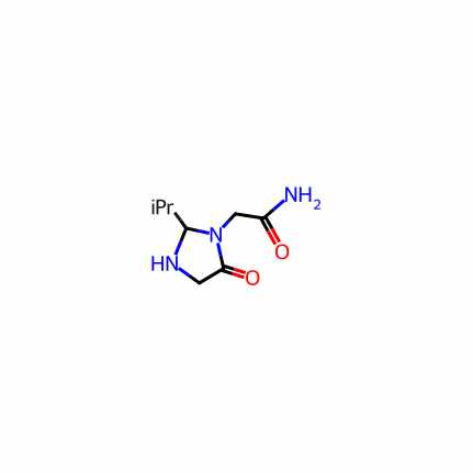 CC(C)C1NCC(=O)N1CC(N)=O